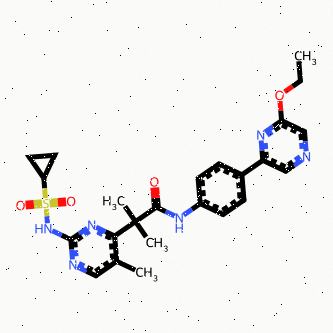 CCOc1cncc(-c2ccc(NC(=O)C(C)(C)c3nc(NS(=O)(=O)C4CC4)ncc3C)cc2)n1